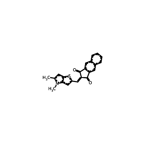 Cc1cc2sc(C=C3C(=O)c4cc5ccccc5cc4C3=O)cc2n1C